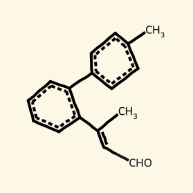 C/C(=C\C=O)c1ccccc1-c1ccc(C)cc1